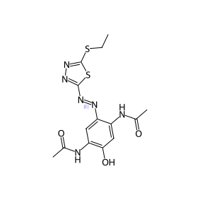 CCSc1nnc(/N=N/c2cc(NC(C)=O)c(O)cc2NC(C)=O)s1